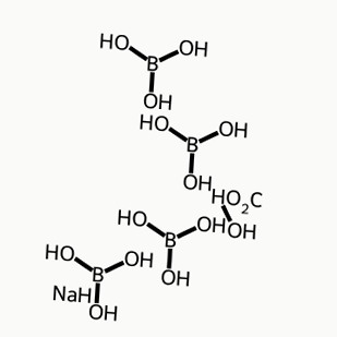 O=C(O)O.OB(O)O.OB(O)O.OB(O)O.OB(O)O.[NaH]